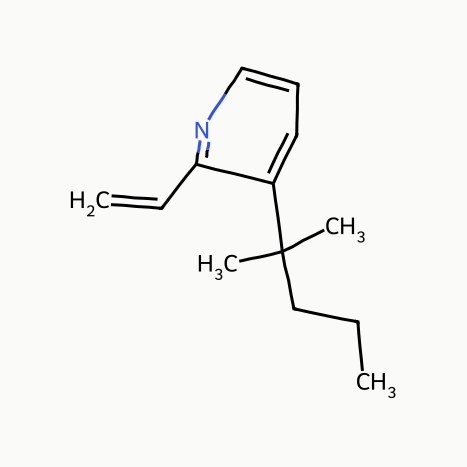 C=Cc1ncccc1C(C)(C)CCC